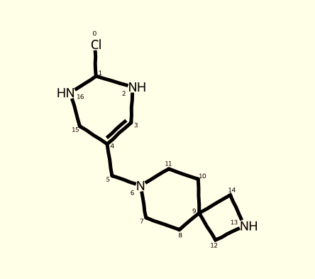 ClC1NC=C(CN2CCC3(CC2)CNC3)CN1